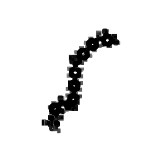 CCN(C)S(=O)(=O)Nc1cccc(C(=O)c2c[nH]c3ncc(-c4ccc(N5CCN(C(=O)CC6(O)CCN(c7ccc(NC8CCC(=O)NC8=O)cc7)CC6)CC5)nc4)cc23)c1F